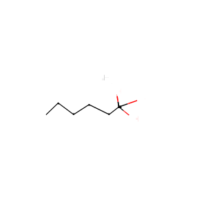 CCCCCC(O)(O)O.[CaH2]